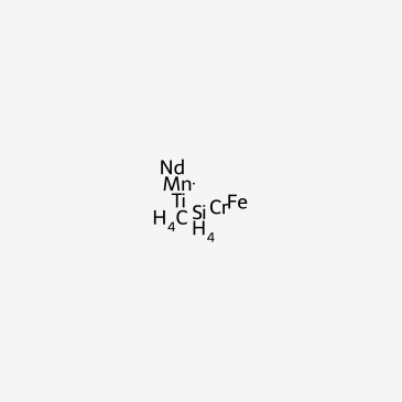 C.[Cr].[Fe].[Mn].[Nd].[SiH4].[Ti]